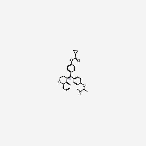 CC(Oc1ccc(/C(=C2/CCOc3ccccc32)c2ccc(OC(=O)C3CC3)cc2)cc1)N(C)C